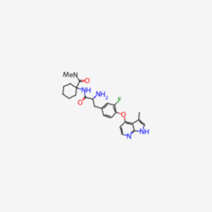 CNC(=O)C1(NC(=O)[C@@H](N)Cc2ccc(Oc3ccnc4[nH]cc(C)c34)c(F)c2)CCCCC1